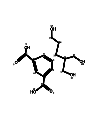 O=C(O)c1cccc(C(=O)O)c1.OCCCC(CO)CO